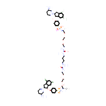 CC(C)[C@H](COCCOCCNC(=O)NCCCCNC(=O)NCCOCCOC[C@H](NS(=O)(=O)c1ccc(O[C@H]2c3cc(Cl)cc(Cl)c3C[C@@H]2N2CCC[C@@H](N)C2)cc1)C(C)C)NS(=O)(=O)c1ccc(O[C@H]2c3cc(Cl)cc(Cl)c3C[C@@H]2N2CCC[C@@H](N)C2)cc1